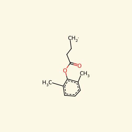 [CH2]CCC(=O)Oc1c(C)cccc1C